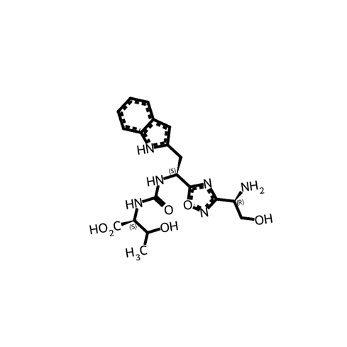 CC(O)[C@H](NC(=O)N[C@@H](Cc1cc2ccccc2[nH]1)c1nc([C@@H](N)CO)no1)C(=O)O